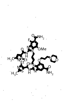 CCc1nc(C)sc1C(O)Nc1nc2cc(C(N)=O)cc(OCCCN3CCOCC3)c2n1C/C=C/Cn1c(NC(=O)c2cc(C)nn2CC)nc2c(F)c(C(N)=O)cc(OC)c21